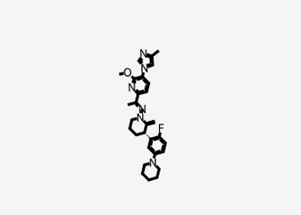 C=C1[C@H](c2cc(N3CCCCC3)ccc2F)CCCN1/N=C(\C)c1ccc(-n2cnc(C)c2)c(OC)n1